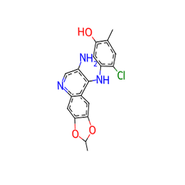 Cc1cc(Cl)c(Nc2c(N)cnc3cc4c(cc23)OC(C)O4)cc1O